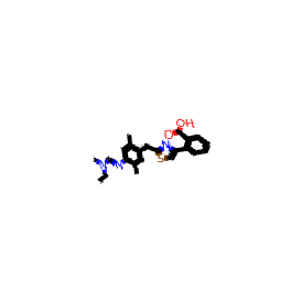 CCN(C)/C=N/c1cc(C)c(Cc2nc(-c3ccccc3C(=O)O)cs2)cc1C